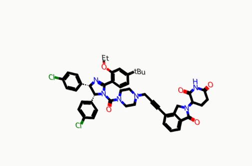 CCOc1cc(C(C)(C)C)ccc1C1=N[C@@H](c2ccc(Cl)cc2)[C@@H](c2ccc(Cl)cc2)N1C(=O)N1CCN(CC#Cc2cccc3c2CN(C2CCC(=O)NC2=O)C3=O)CC1